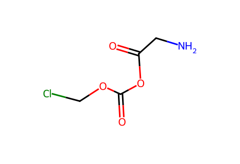 NCC(=O)OC(=O)OCCl